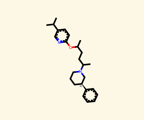 CC(CCC(C)N1CCC[C@H](c2ccccc2)C1)Oc1ccc(C(C)C)cn1